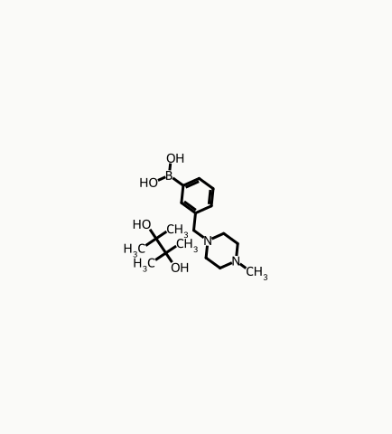 CC(C)(O)C(C)(C)O.CN1CCN(Cc2cccc(B(O)O)c2)CC1